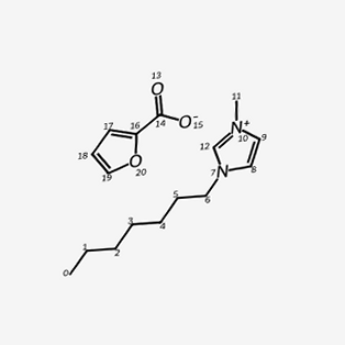 CCCCCCCn1cc[n+](C)c1.O=C([O-])c1ccco1